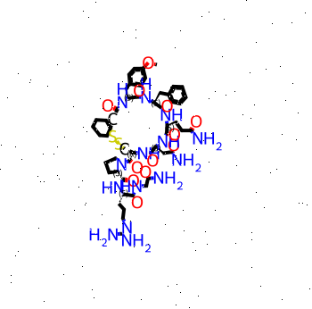 COc1ccc(C[C@@H]2NC(=O)CC3(CCCCC3)SSC[C@@H](C(=O)N3CCC[C@H]3C(=O)N[C@@H](CCCN=C(N)N)C(=O)NCC(N)=O)NC(=O)[C@H](CC(N)=O)NC(=O)[C@H](CCC(N)=O)NC(=O)[C@H](Cc3ccccc3)NC2=O)cc1